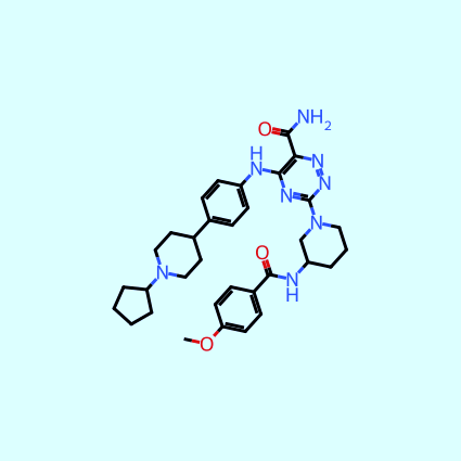 COc1ccc(C(=O)NC2CCCN(c3nnc(C(N)=O)c(Nc4ccc(C5CCN(C6CCCC6)CC5)cc4)n3)C2)cc1